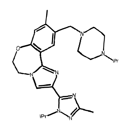 Cc1nc(-c2cn3c(n2)-c2cc(CN4CCN(C(C)C)CC4)c(C)cc2OCC3)n(C(C)C)n1